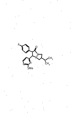 CSc1nccc(C2C(c3ccc(F)cc3)C(=O)N3CC(N(C)C)CN23)n1